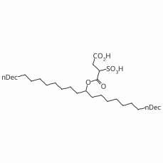 CCCCCCCCCCCCCCCCCCC(CCCCCCCCCCCCCCCCC)OC(=O)C(CC(=O)O)S(=O)(=O)O